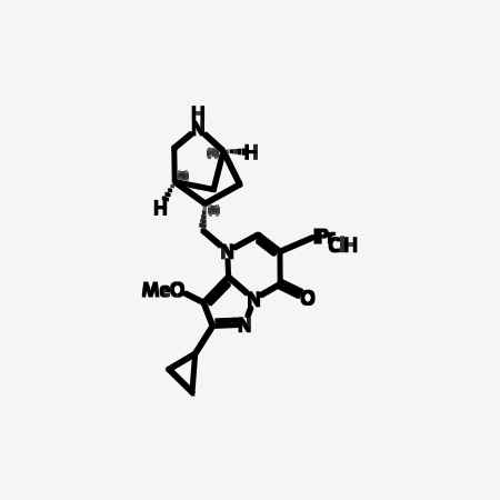 COc1c(C2CC2)nn2c(=O)c(C(C)C)cn(C[C@H]3C[C@H]4C[C@@H]3CN4)c12.Cl